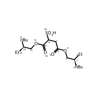 CCCC[C@H](CC)COC(=O)CC(C(=O)OC[C@@H](CC)CCCC)S(=O)(=O)O